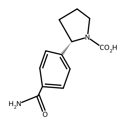 NC(=O)c1ccc([C@@H]2CCCN2C(=O)O)cc1